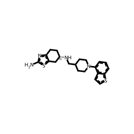 Nc1nc2c(s1)C[C@@H](NCC1CCN(c3cccc4sccc34)CC1)CC2